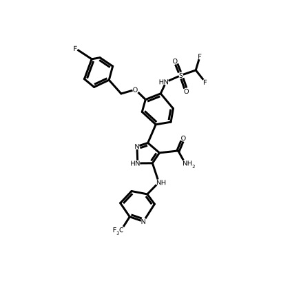 NC(=O)c1c(-c2ccc(NS(=O)(=O)C(F)F)c(OCc3ccc(F)cc3)c2)n[nH]c1Nc1ccc(C(F)(F)F)nc1